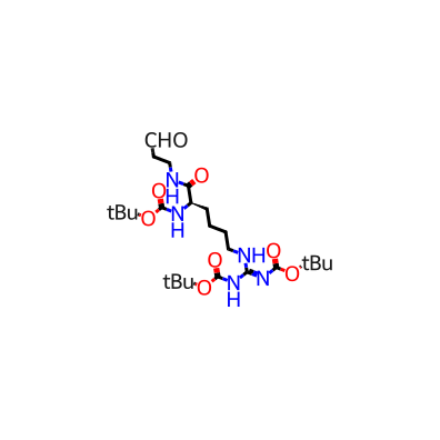 CC(C)(C)OC(=O)/N=C(\NCCCC[C@@H](NC(=O)OC(C)(C)C)C(=O)NCCC=O)NC(=O)OC(C)(C)C